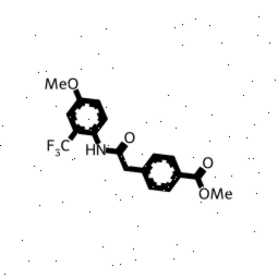 COC(=O)c1ccc(CC(=O)Nc2ccc(OC)cc2C(F)(F)F)cc1